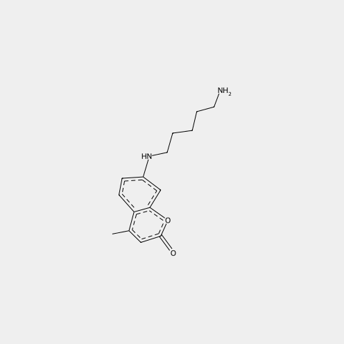 Cc1cc(=O)oc2cc(NCCCCCN)ccc12